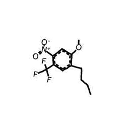 CCCCc1cc(C(F)(F)F)c([N+](=O)[O-])cc1OC